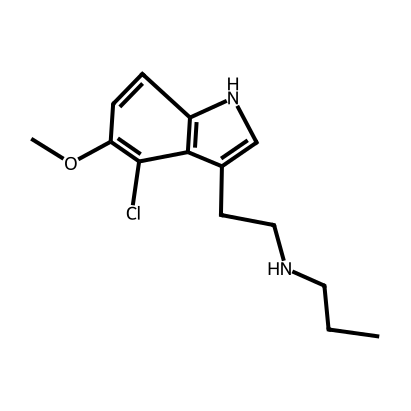 CCCNCCc1c[nH]c2ccc(OC)c(Cl)c12